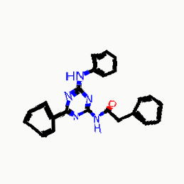 O=C(Cc1ccccc1)Nc1nc(Nc2ccccc2)nc(-c2ccccc2)n1